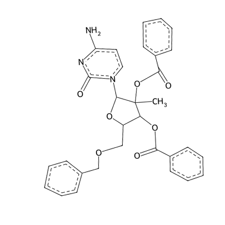 CC1(OC(=O)c2ccccc2)C(OC(=O)c2ccccc2)C(COCc2ccccc2)OC1n1ccc(N)nc1=O